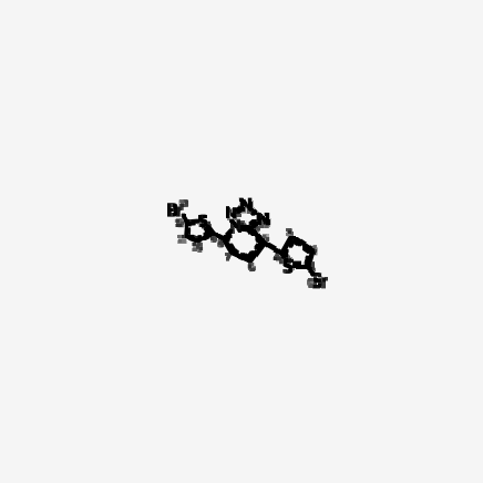 Brc1ccc(-c2ccc(-c3ccc(Br)s3)n3nnnc23)s1